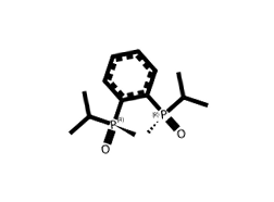 CC(C)[P@@](C)(=O)c1ccccc1[P@](C)(=O)C(C)C